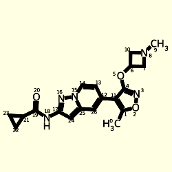 Cc1onc(OC2CN(C)C2)c1-c1ccn2nc(NC(=O)C3CC3)cc2c1